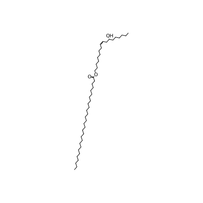 CCCCCCCCCCCCCCCCCCCCCCCCCCCCC(=O)OCCCCCCCC/C=C\C[C@H](O)CCCCCC